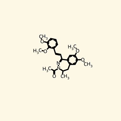 COc1cc2c(cc1OC)C(C=Cc1cccc(OC)c1OC)=NN(C(C)=O)C(C)C2